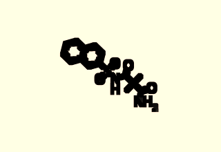 CC(C)(C(N)=O)C(=O)NS(=O)(=O)c1ccc2ccccc2c1